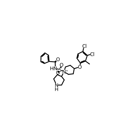 Cc1c(OC2CC[N+](C3CCNCC3)(S(=O)(=O)NC(=O)c3ccccc3)CC2)ccc(Cl)c1Cl